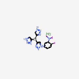 Cl.Ic1ccccc1N(I)I.c1[nH]nn[c]1[Zn]([c]1c[nH]nn1)[c]1c[nH]nn1